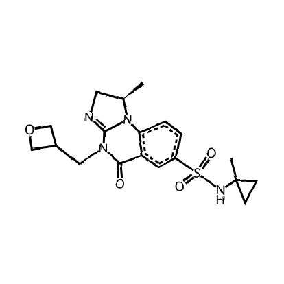 C[C@@H]1CN=C2N(CC3COC3)C(=O)c3cc(S(=O)(=O)NC4(C)CC4)ccc3N21